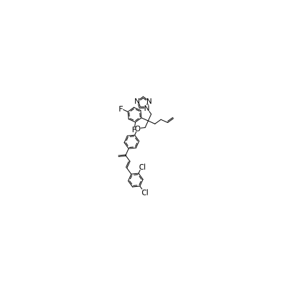 C=CCCC(COc1ccc(C(=C)/C=C/c2ccc(Cl)cc2Cl)cc1)(Cn1cncn1)c1ccc(F)cc1F